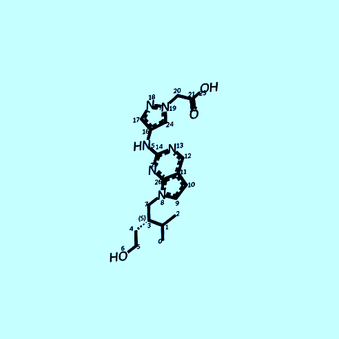 CC(C)[C@H](CCO)Cn1ccc2cnc(Nc3cnn(CC(=O)O)c3)nc21